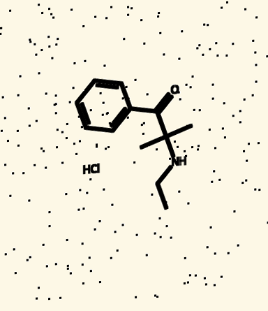 CCNC(C)(C)C(=O)c1ccccc1.Cl